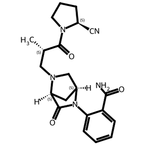 C[C@@H](CN1C[C@@H]2C[C@H]1C(=O)N2c1ccccc1C(N)=O)C(=O)N1CCC[C@H]1C#N